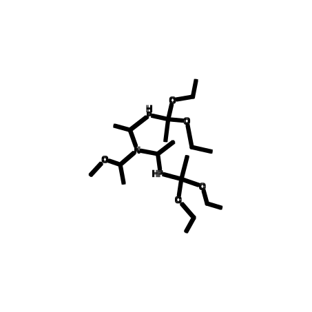 CCOC(C)(OCC)PC(C)N(C(C)OC)C(C)PC(C)(OCC)OCC